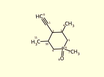 C#CC1C(C)CP(C)(=O)CC1C